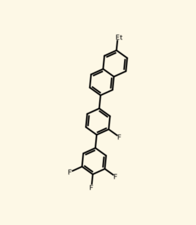 CCc1ccc2cc(-c3ccc(-c4cc(F)c(F)c(F)c4)c(F)c3)ccc2c1